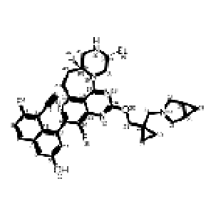 C#Cc1c(F)ccc2cc(O)cc(-c3nc4c5c(nc(OCC6(CN7CC8CC8C7)CC6)nc5c3F)N3C[C@@H](CC)NC[C@H]3CC4)c12